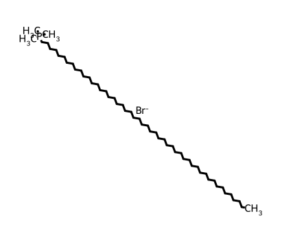 CCCCCCCCCCCCCCCCCCCCCCCCCCCCCCCCCCCCCCCCCCCCCCCCCC[P+](C)(C)C.[Br-]